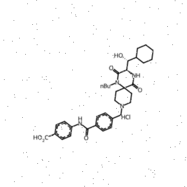 CCCCN1C(=O)[C@@H]([C@H](O)C2CCCCC2)NC(=O)C12CCN(Cc1ccc(C(=O)Nc3ccc(C(=O)O)cc3)cc1)CC2.Cl